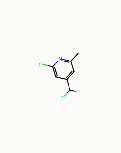 Cc1cc(C(F)F)cc(Cl)n1